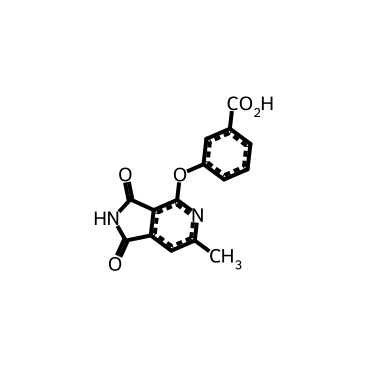 Cc1cc2c(c(Oc3cccc(C(=O)O)c3)n1)C(=O)NC2=O